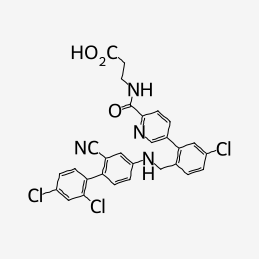 N#Cc1cc(NCc2ccc(Cl)cc2-c2ccc(C(=O)NCCC(=O)O)nc2)ccc1-c1ccc(Cl)cc1Cl